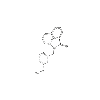 COc1cccc(CN2C(=S)c3cccc4cccc2c34)c1